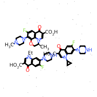 CCn1cc(C(=O)O)c(=O)c2cc(F)c(N3CCNCC3)cc21.C[C@H]1COc2c(N3CCN(C)CC3)c(F)cc3c(=O)c(C(=O)O)cn1c23.O=C(O)c1cn(C2CC2)c2cc(N3CCNCC3)c(F)cc2c1=O